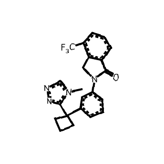 Cn1cnnc1C1(c2cccc(N3Cc4c(cccc4C(F)(F)F)C3=O)c2)CCC1